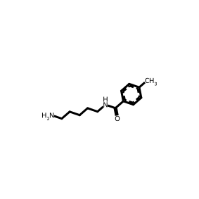 Cc1ccc(C(=O)NCCCCCN)cc1